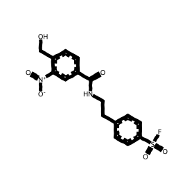 O=C(NCCc1ccc(S(=O)(=O)F)cc1)c1ccc(CO)c([N+](=O)[O-])c1